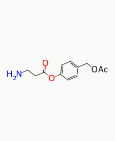 CC(=O)OCc1ccc(OC(=O)CCN)cc1